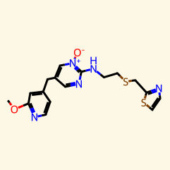 COc1cc(Cc2cnc(NCCSCc3nccs3)[n+]([O-])c2)ccn1